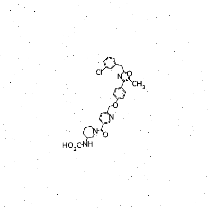 Cc1oc(Cc2cccc(Cl)c2)nc1-c1ccc(OCc2ccc(C(=O)N3CCC[C@H](NC(=O)O)C3)cn2)cc1